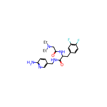 CCN(CC)CC(=O)NC(Cc1ccc(F)c(F)c1)C(=O)NCc1ccc(N)nc1